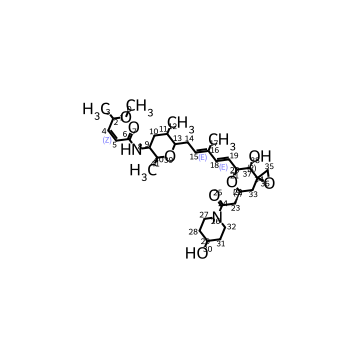 COC(C)/C=C\C(=O)NC1CC(C)C(C/C=C(C)/C=C/C2O[C@H](CC(=O)N3CCC(O)CC3)CC3(CO3)[C@@H]2O)OC1C